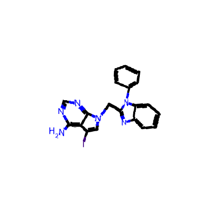 Nc1ncnc2c1c(I)cn2Cc1nc2ccccc2n1-c1ccccc1